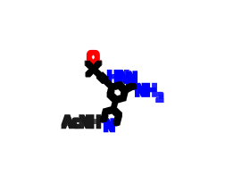 CC(=O)Nc1cc(-c2cc(C#CC3(C)COC3)c3[nH]nc(N)c3c2)ccn1